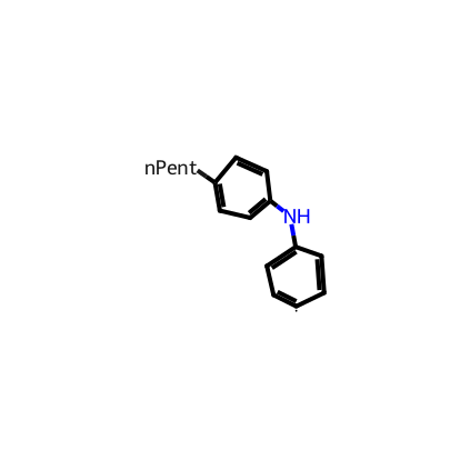 CCCCCc1ccc(Nc2cc[c]cc2)cc1